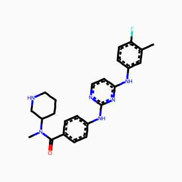 Cc1cc(Nc2ccnc(Nc3ccc(C(=O)N(C)C4CCCNC4)cc3)n2)ccc1F